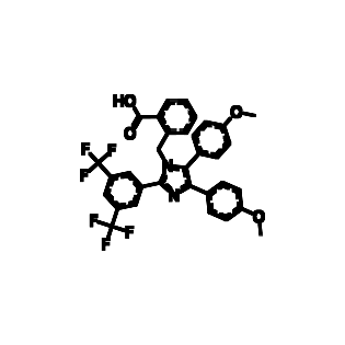 COc1ccc(-c2nc(-c3cc(C(F)(F)F)cc(C(F)(F)F)c3)n(Cc3ccccc3C(=O)O)c2-c2ccc(OC)cc2)cc1